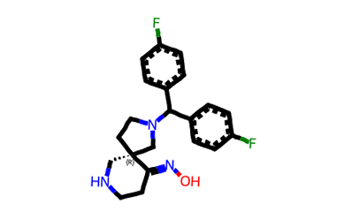 ON=C1CCNC[C@@]12CCN(C(c1ccc(F)cc1)c1ccc(F)cc1)C2